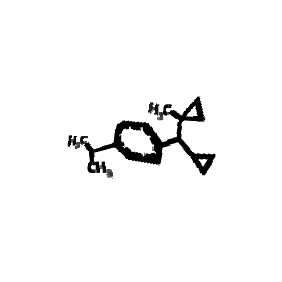 CC(C)c1ccc(C(C2CC2)C2(C)CC2)cc1